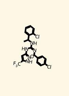 CC(N/C(=N/C(=O)c1ccc(Cl)cc1)Nc1cc(C(F)(F)F)[nH]n1)c1ccccc1Cl